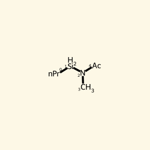 CCC[SiH2]N(C)C(C)=O